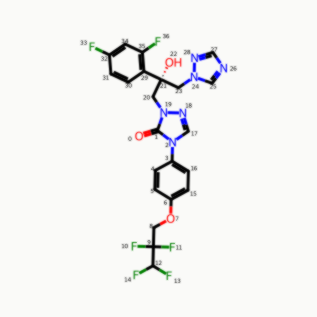 O=c1n(-c2ccc(OCC(F)(F)C(F)F)cc2)cnn1C[C@](O)(Cn1cncn1)c1ccc(F)cc1F